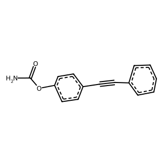 NC(=O)Oc1ccc(C#Cc2ccccc2)cc1